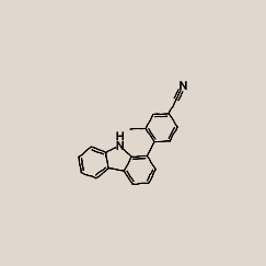 Cc1cc(C#N)ccc1-c1cccc2c1[nH]c1ccccc12